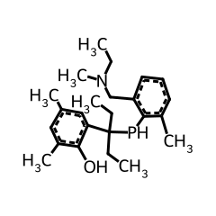 CCN(C)Cc1cccc(C)c1PC(CC)(CC)c1cc(C)cc(C)c1O